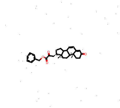 C[C@]12CCC(=O)C=C1C=CC1C2CC[C@@]2(C)C1CC[C@@H]2CC(=O)C(=O)OCc1ccccc1